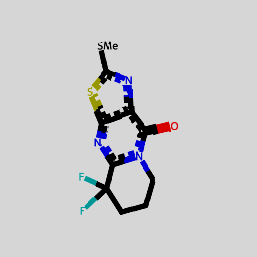 CSc1nc2c(=O)n3c(nc2s1)C(F)(F)CCC3